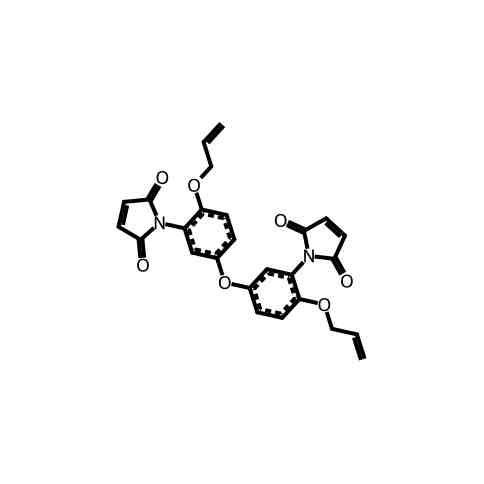 C=CCOc1ccc(Oc2ccc(OCC=C)c(N3C(=O)C=CC3=O)c2)cc1N1C(=O)C=CC1=O